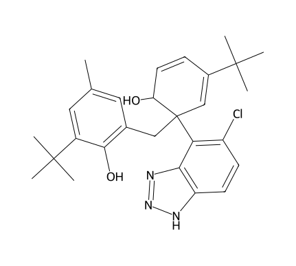 Cc1cc(CC2(c3c(Cl)ccc4[nH]nnc34)C=C(C(C)(C)C)C=CC2O)c(O)c(C(C)(C)C)c1